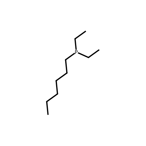 CCCCCCP(CC)CC